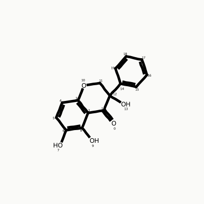 O=C1c2c(ccc(O)c2O)OCC1(O)c1ccccc1